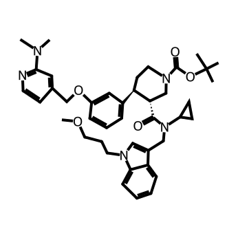 COCCCn1cc(CN(C(=O)[C@H]2CN(C(=O)OC(C)(C)C)CC[C@@H]2c2cccc(OCc3ccnc(N(C)C)c3)c2)C2CC2)c2ccccc21